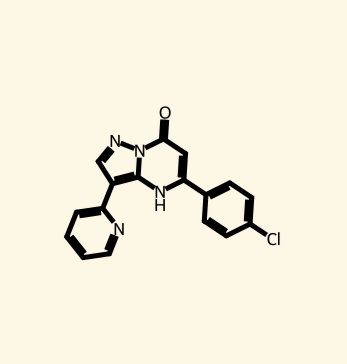 O=c1cc(-c2ccc(Cl)cc2)[nH]c2c(-c3ccccn3)cnn12